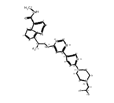 CNC(=O)c1ccnc2c([C@H](C)CNc3cc(-c4ccc(N5CCN(CC(F)F)CC5)nc4)ncn3)cccc12